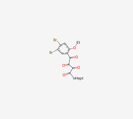 CCCCCCCC(=O)C(=O)C(=O)C(=O)c1cc(Br)c(Br)cc1OCC